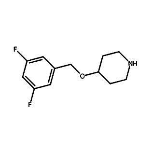 Fc1cc(F)cc(COC2CCNCC2)c1